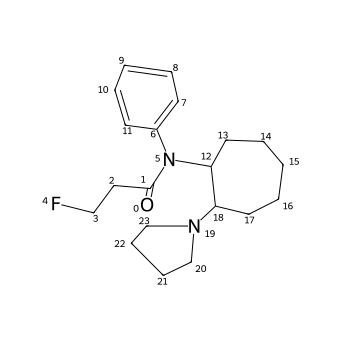 O=C(CCF)N(c1ccccc1)C1CCCCCC1N1CCCC1